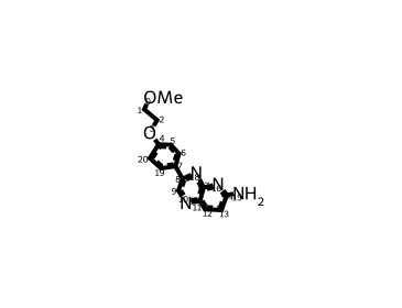 COCCOc1ccc(-c2cnc3ccc(N)nc3n2)cc1